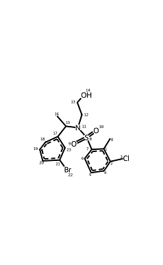 Cc1c(Cl)cccc1S(=O)(=O)N(CCO)C(C)c1cccc(Br)c1